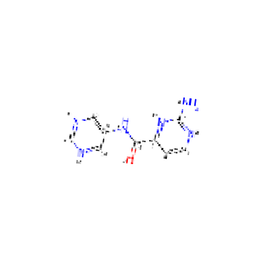 Nc1nccc(C(=O)Nc2cncnc2)n1